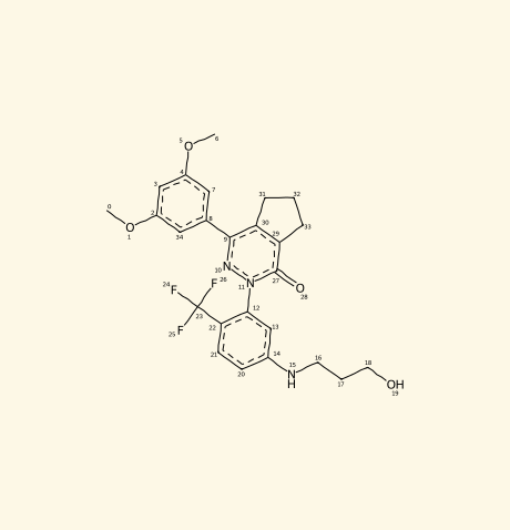 COc1cc(OC)cc(-c2nn(-c3cc(NCCCO)ccc3C(F)(F)F)c(=O)c3c2CCC3)c1